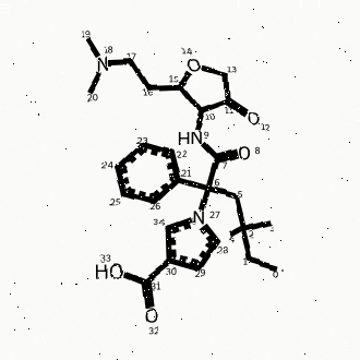 [CH2]CC(C)(C)CC(C(=O)NC1C(=O)COC1CCN(C)C)(c1ccccc1)n1ccc(C(=O)O)c1